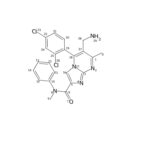 Cc1nc2nc(C(=O)N(C)c3ccccc3)cn2c(-c2ccc(Cl)cc2Cl)c1CN